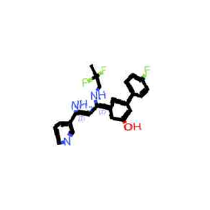 CC(F)(F)CNC(/C=C(\N)c1cccnc1)=C1\C=C(c2ccc(F)cc2)C=C(O)C1